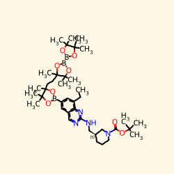 CCc1cc(B2OC(C)(C)C(C)(CCC3(C)OB(B4OC(C)(C)C(C)(C)O4)OC3(C)C)O2)cc2cnc(NC[C@@H]3CCCN(C(=O)OC(C)(C)C)C3)nc12